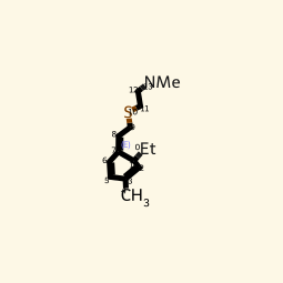 CCC1C=C(C)C=C/C1=C/CSCCNC